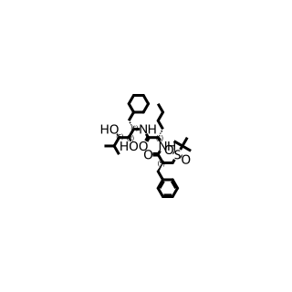 CCCC[C@H](NC(=O)[C@H](Cc1ccccc1)CS(=O)(=O)C(C)(C)C)C(=O)N[C@@H](CC1CCCCC1)[C@@H](O)[C@@H](O)C(C)C